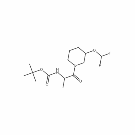 CC(NC(=O)OC(C)(C)C)C(=O)N1CCCC(OC(F)F)C1